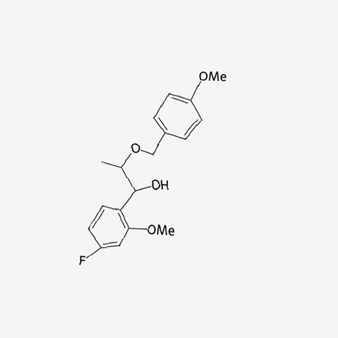 COc1ccc(COC(C)C(O)c2ccc(F)cc2OC)cc1